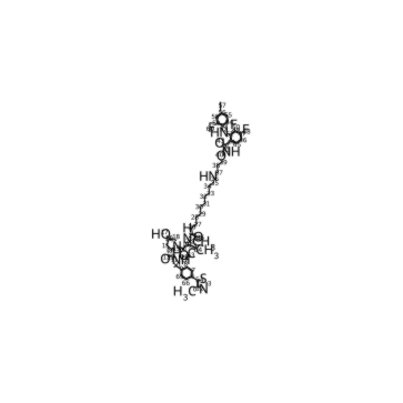 Cc1ncsc1-c1ccc(CNC(=O)[C@@H]2C[C@@H](O)CN2C(=O)[C@@H](NC(=O)CCCCCCCCCCNCCCONC(=O)c2ccc(F)c(F)c2Nc2ccc(I)cc2F)C(C)(C)C)cc1